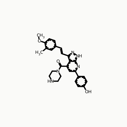 COc1ccc(C=Cc2n[nH]c3nc(-c4ccc(O)cc4)cc(C(=O)N4CCNCC4)c23)cc1C